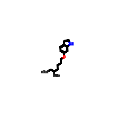 CCCCCCCCCCCC(CCCCOc1ccc2cc[nH]c2c1)OC